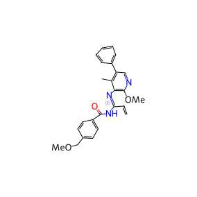 C=C/C(=N\c1c(OC)ncc(-c2ccccc2)c1C)NC(=O)c1ccc(COC)cc1